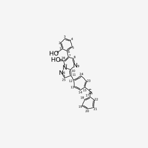 Oc1ccccc1-c1cnc2c(-c3ccc(Sc4ccccc4)cc3)cnn2c1O